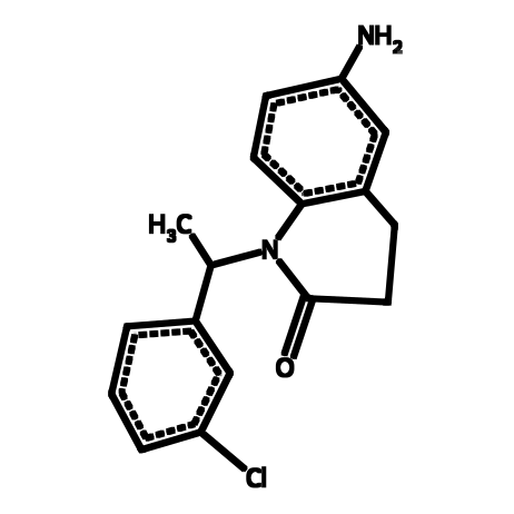 CC(c1cccc(Cl)c1)N1C(=O)CCc2cc(N)ccc21